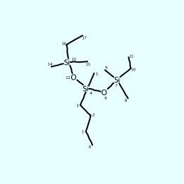 CCCC[Si](C)(O[Si](C)(C)CC)O[Si](C)(C)CC